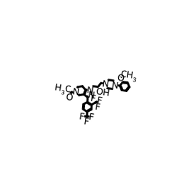 COc1ccccc1N1CCN(CC(O)Cn2nc(-c3ccc(C(F)(F)F)cc3C(F)(F)F)c3c2CCN(C(C)=O)C3)CC1